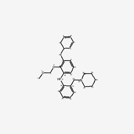 COCOc1c(CC2C=CC=CC2)cccc1Pc1ccccc1CN1CCCCC1